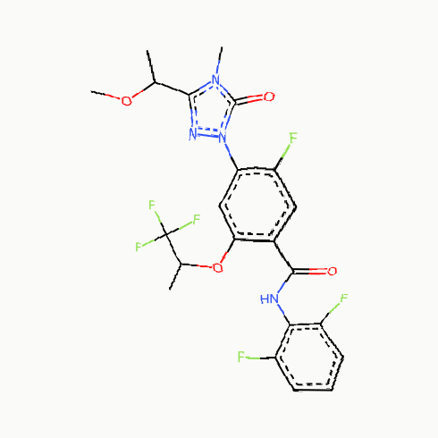 COC(C)c1nn(-c2cc(OC(C)C(F)(F)F)c(C(=O)Nc3c(F)cccc3F)cc2F)c(=O)n1C